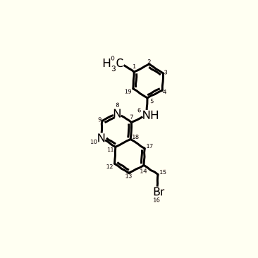 Cc1cccc(Nc2ncnc3ccc(CBr)cc23)c1